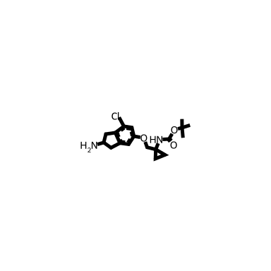 CC(C)(C)OC(=O)NC1(COc2cc(Cl)c3c(c2)CC(N)C3)CC1